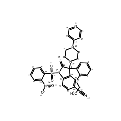 CCOc1ccccc1C1(N2CCN(c3ccncc3)CC2)C(=O)N(S(=O)(=O)c2ccccc2[N+](=O)[O-])c2ccc(C#N)cc21